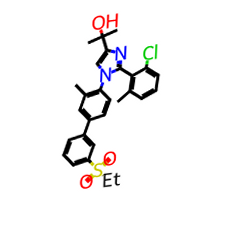 CCS(=O)(=O)c1cccc(-c2ccc(-n3cc(C(C)(C)O)nc3-c3c(C)cccc3Cl)c(C)c2)c1